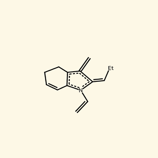 C=Cn1c2c(c(=C)/c1=C\CC)CCC=C2